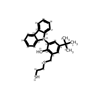 CC(C)(C)c1cc(CSCCS)c(O)c(-n2c3ccccc3c3ccccc32)c1